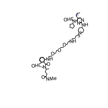 C/C=C\c1cnc(NC2CCN(SCCCNCCOCCOCCOCCNc3cccc(C=O)c3C(=O)N(C)C(C)CCC(=O)NC)CC2)nc1N(C=O)C1CCCC1